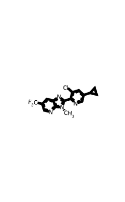 Cn1c(-c2ncc(C3CC3)cc2Cl)nc2cc(C(F)(F)F)cnc21